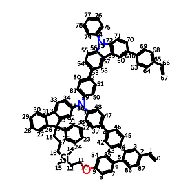 C=Cc1ccc(-c2ccc(OCC[Si](C)(C)CCCC3(c4ccccc4)c4ccccc4-c4ccc(N(c5ccc(-c6ccccc6)cc5)c5ccc(-c6ccc7c(c6)c6cc(-c8ccc(C=C)cc8)ccc6n7-c6ccccc6)cc5)cc43)cc2)cc1